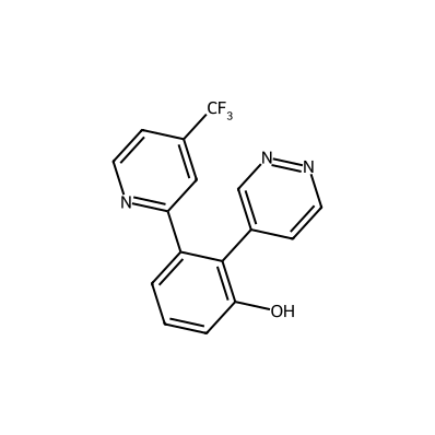 Oc1cccc(-c2cc(C(F)(F)F)ccn2)c1-c1ccnnc1